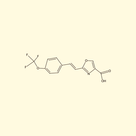 O=C(O)c1coc(/C=C/c2ccc(OC(F)(F)F)cc2)n1